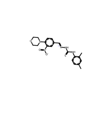 Cc1ccc(NC(=S)N/N=C/c2ccc(N3CCOCC3)c([N+](=O)[O-])c2)c(C)c1